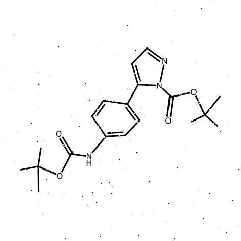 CC(C)(C)OC(=O)Nc1ccc(-c2ccnn2C(=O)OC(C)(C)C)cc1